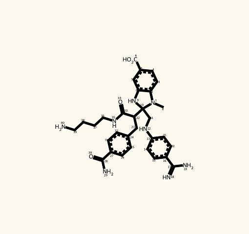 CN1c2ccc(C(=O)O)cc2NC1(CNc1ccc(C(=N)N)cc1)C(Cc1ccc(C(N)=O)cc1)C(=O)NCCCCN